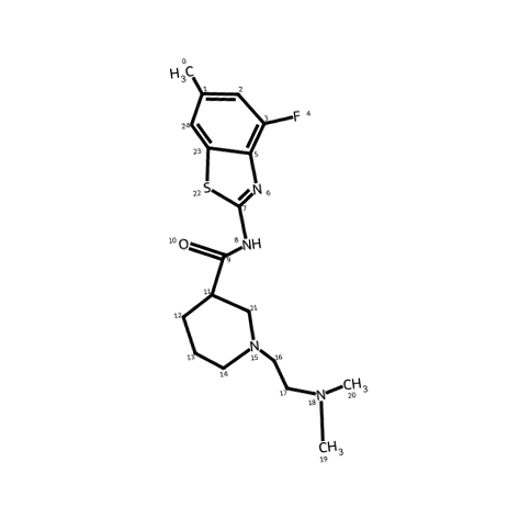 Cc1cc(F)c2nc(NC(=O)C3CCCN(CCN(C)C)C3)sc2c1